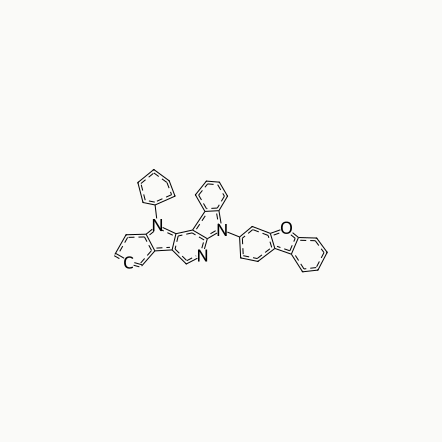 c1ccc(-n2c3ccccc3c3cnc4c(c5ccccc5n4-c4ccc5c(c4)oc4ccccc45)c32)cc1